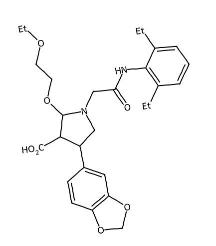 CCOCCOC1C(C(=O)O)C(c2ccc3c(c2)OCO3)CN1CC(=O)Nc1c(CC)cccc1CC